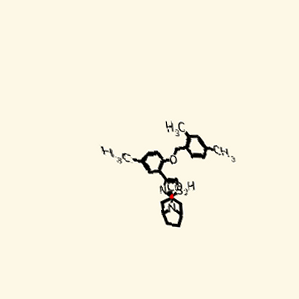 Cc1ccc(COc2ccc(C)cc2-c2csc(N3C4CCC3CC(C(=O)O)C4)n2)c(C)c1